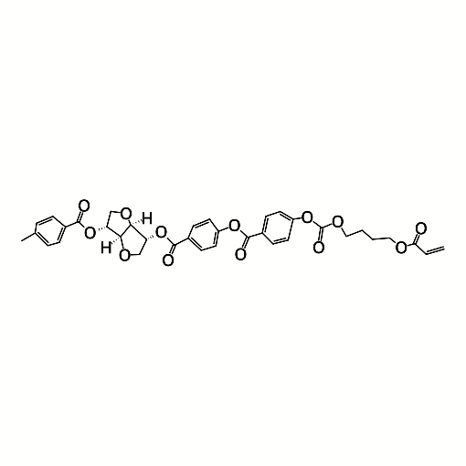 C=CC(=O)OCCCCOC(=O)Oc1ccc(C(=O)Oc2ccc(C(=O)O[C@@H]3CO[C@@H]4[C@H]3OC[C@H]4OC(=O)c3ccc(C)cc3)cc2)cc1